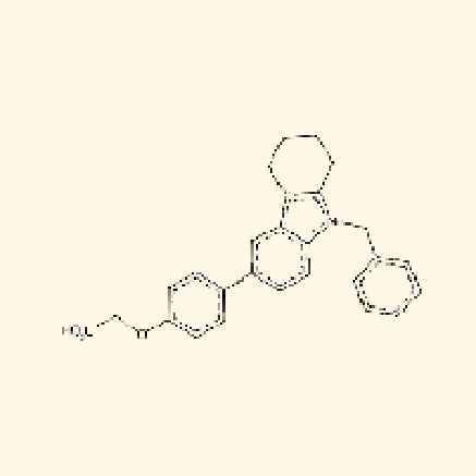 O=C(O)COc1ccc(-c2ccc3c(c2)c2c(n3Cc3ccccc3)CCCC2)cc1